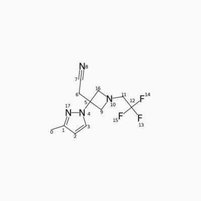 Cc1ccn(C2(CC#N)CN(CC(F)(F)F)C2)n1